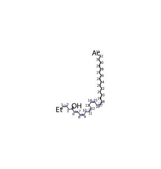 CC/C=C\CC(O)/C=C/C=C\C/C=C\C/C=C\C/C=C\CCCCCCCCCCCCCCC(C)=O